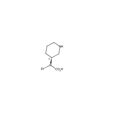 CCN(C(=O)O)[C@H]1CCCNC1